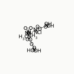 CCCCc1nc(Cl)c(C(=O)OCCCON(O)O)n1Cc1ccc(-c2ccccc2-c2nnn(C(C)OC(=O)OCCOCCON(O)O)n2)cc1